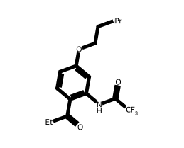 CCC(=O)c1ccc(OCCC(C)C)cc1NC(=O)C(F)(F)F